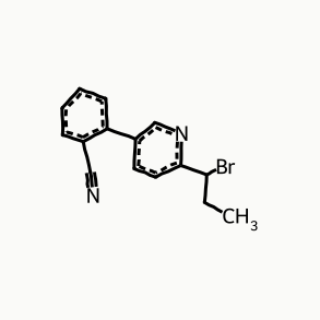 CCC(Br)c1ccc(-c2ccccc2C#N)cn1